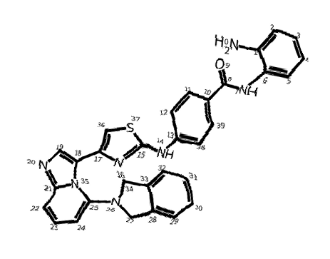 Nc1ccccc1NC(=O)c1ccc(Nc2nc(-c3cnc4cccc(N5Cc6ccccc6C5)n34)cs2)cc1